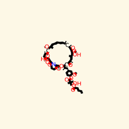 CCCCC(=O)OCC(C)(CO)C(=O)O[C@@H]1CC[C@@H](C[C@@H](C)[C@@H]2CC(=O)[C@H](C)/C=C(\C)[C@@H](O)[C@@H](OC)C(=O)[C@H](C)C[C@H](C)/C=C/C=C/C=C(\C)[C@@H](OC)C[C@@H]3CC[C@@H](C)[C@@](O)(O3)C(=O)C(=O)N3CCCC[C@H]3C(=O)O2)C[C@H]1OC